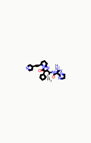 CC(NC(=O)c1c(N)nn2cccnc12)c1nc2cccc(C#Cc3ccncc3)n2c(=O)c1-c1ccccc1